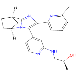 Cc1cccc(-c2nc3n(c2-c2ccnc(NC[C@H](C)O)c2)[C@H]2CC[C@@H]3C2)n1